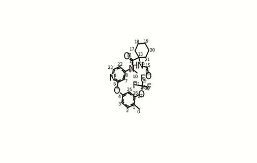 Cc1ccc(Oc2cc(N(C)C(=O)C3(NC=O)CCCCC3)ccn2)cc1OC(F)(F)F